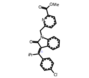 COC(=O)c1cccc(CN2C(=O)/C(=C(/c3ccc(Cl)cc3)C(C)C)c3ccccc32)n1